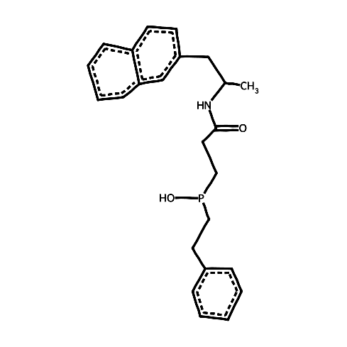 CC(Cc1ccc2ccccc2c1)NC(=O)CCP(O)CCc1ccccc1